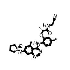 Cc1cc(N=S2(=O)CCCC2)cc2ncnc(Nc3ccc(F)cc3O[C@H](C)C(=O)NCC#N)c12